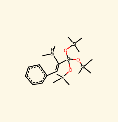 C[SiH](C)C(=Cc1ccccc1)[Si](O[Si](C)(C)C)(O[Si](C)(C)C)O[Si](C)(C)C